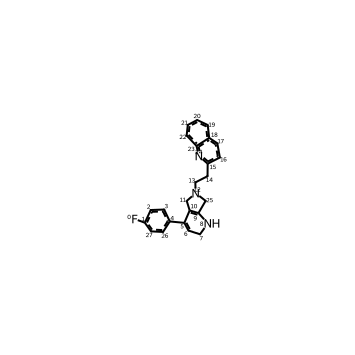 Fc1ccc(C2=CCNC3=C2CN(CCc2ccc4ccccc4n2)C3)cc1